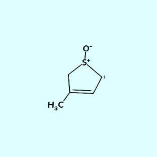 CC1=C[C][S+]([O-])C1